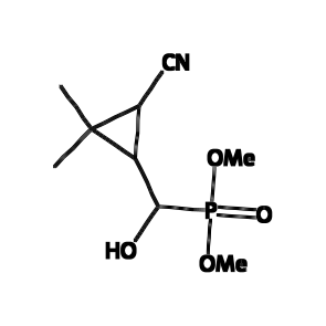 COP(=O)(OC)C(O)C1C(C#N)C1(C)C